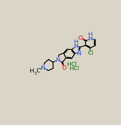 CN1CCC(N2Cc3cc4[nH]c(-c5c(Cl)cc[nH]c5=O)nc4cc3C2=O)CC1.Cl.Cl